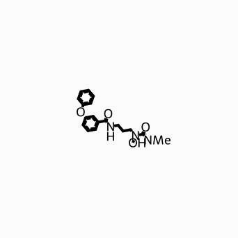 CNC(=O)N(O)CCCNC(=O)c1cccc(Oc2ccccc2)c1